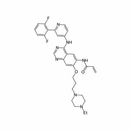 C=CC(=O)Nc1cc2c(Nc3ccnc(-c4c(F)cccc4F)c3)ncnc2cc1OCCCN1CCN(CC)CC1